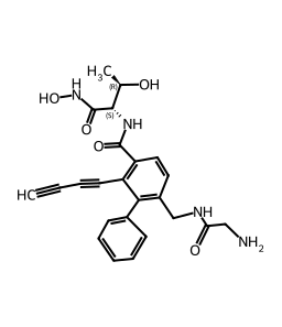 C#CC#Cc1c(C(=O)N[C@H](C(=O)NO)[C@@H](C)O)ccc(CNC(=O)CN)c1-c1ccccc1